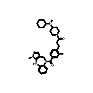 Cc1cc(C(=O)N2Cc3cnn(C)c3Nc3ccccc32)ccc1CCC(=O)N1CCC(N(C)C2CCCCC2)CC1